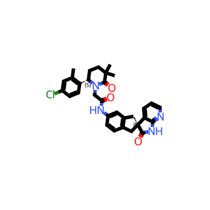 Cc1cc(Cl)ccc1[C@@H]1CCC(C)(C)C(=O)N1CC(=O)Nc1ccc2c(c1)C[C@@]1(C2)C(=O)Nc2ncccc21